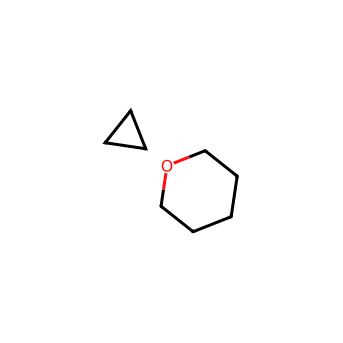 C1CC1.C1CCOCC1